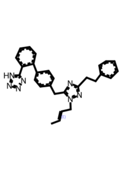 C/C=C/Cn1nc(CCc2ccccc2)nc1Cc1ccc(-c2ccccc2-c2nnn[nH]2)cc1